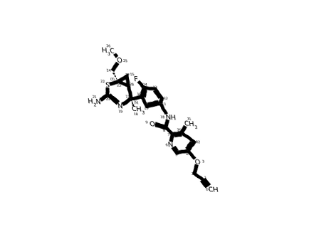 C#CCOc1cnc(C(=O)Nc2ccc(F)c([C@@]3(C)N=C(N)S[C@@]4(COC)CC43)c2)c(C)c1